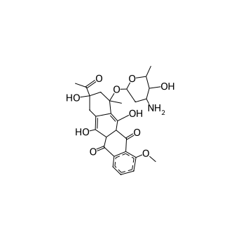 COc1cccc2c1C(=O)C1C(O)=C3C(=C(O)C1C2=O)CC(O)(C(C)=O)CC3(C)OC1CC(N)C(O)C(C)O1